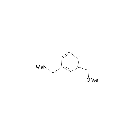 CNCc1cccc(COC)c1